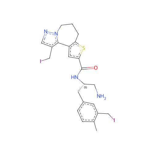 Cc1ccc(C[C@@H](CN)NC(=O)c2cc3c(s2)CCCn2ncc(CI)c2-3)cc1CI